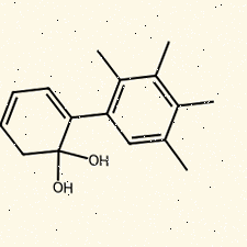 Cc1cc(C2=CC=CCC2(O)O)c(C)c(C)c1C